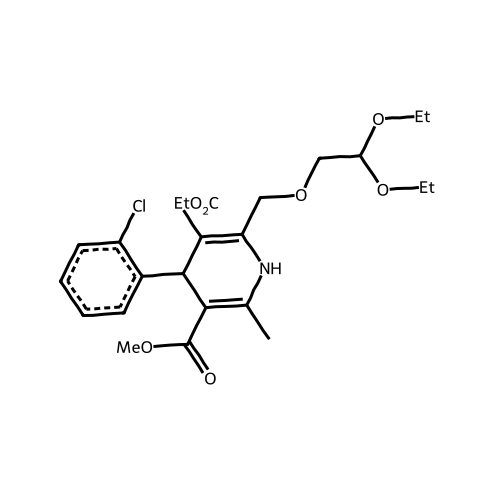 CCOC(=O)C1=C(COCC(OCC)OCC)NC(C)=C(C(=O)OC)C1c1ccccc1Cl